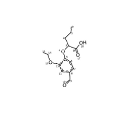 CCCC(Oc1ccc(C=O)cc1OCC)C(=O)O